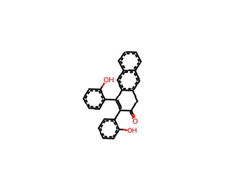 O=C1Cc2cc3ccccc3cc2C(c2ccccc2O)=C1c1ccccc1O